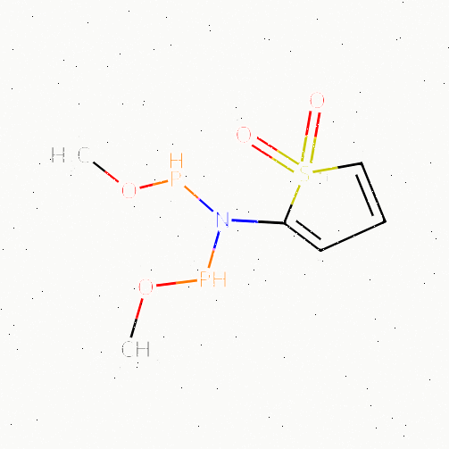 COPN(POC)C1=CC=CS1(=O)=O